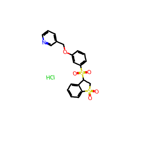 Cl.O=S1(=O)CC(S(=O)(=O)c2cccc(OCc3cccnc3)c2)c2ccccc21